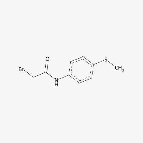 CSc1ccc(NC(=O)CBr)cc1